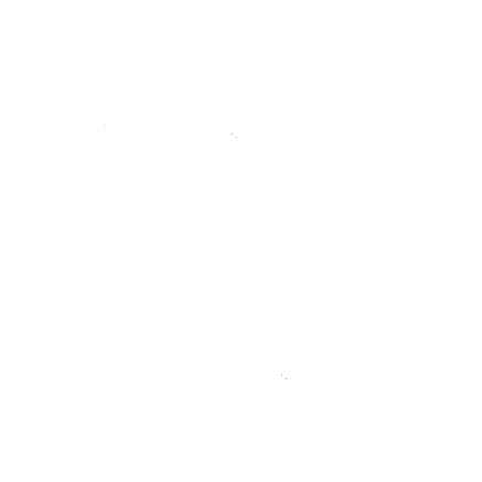 CN(CCCC(O)CCc1cnc2ccccc2c1)C(=O)OC(C)(C)C